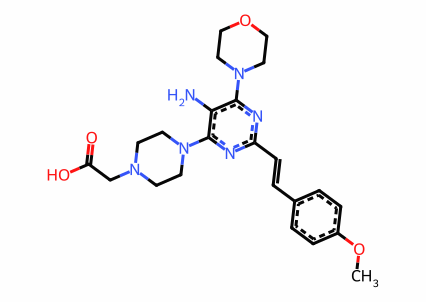 COc1ccc(C=Cc2nc(N3CCOCC3)c(N)c(N3CCN(CC(=O)O)CC3)n2)cc1